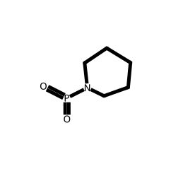 O=P(=O)N1CCCCC1